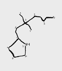 CCCC(C)(C)CC1CCCN1